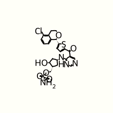 NS(=O)(=O)OC[C@H]1C[C@@H](Nc2ncncc2C(=O)c2ccc([C@H]3OCCc4c(Cl)cccc43)s2)C[C@@H]1O